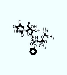 CC(C)OC(=O)[C@H](C)NP(=O)(OC[C@H]1O[C@@H](n2cc(F)c(=O)[nH]c2=O)[C@@](O)(CF)C1O)Oc1ccccc1